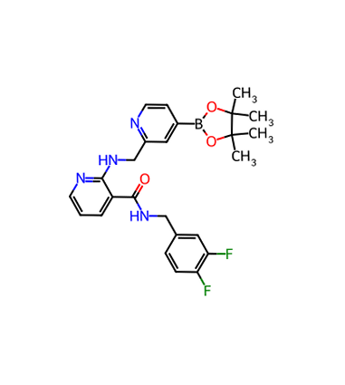 CC1(C)OB(c2ccnc(CNc3ncccc3C(=O)NCc3ccc(F)c(F)c3)c2)OC1(C)C